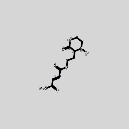 COC(=O)/C=C/C(=O)OCCC1C(=O)NCCN1C(C)=O